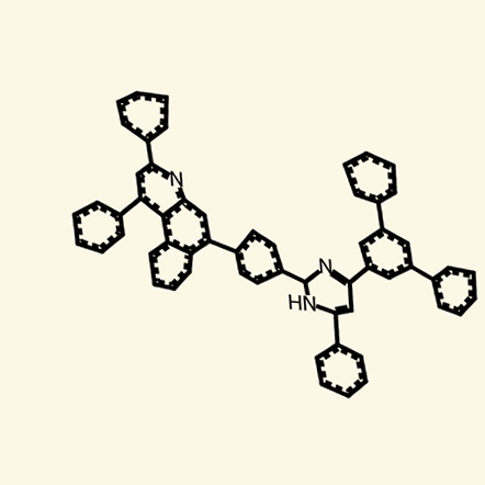 C1=C(c2ccccc2)NC(c2ccc(-c3cc4nc(-c5ccccc5)cc(-c5ccccc5)c4c4ccccc34)cc2)N=C1c1cc(-c2ccccc2)cc(-c2ccccc2)c1